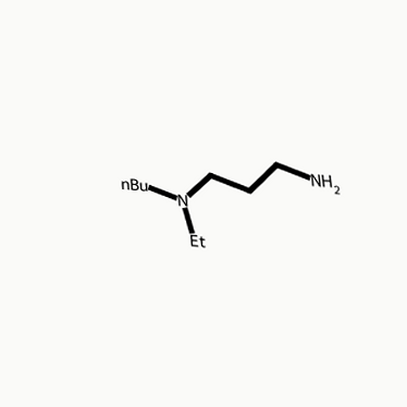 CCCCN(CC)CCCN